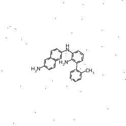 Cc1ccccc1-c1cccc(Nc2ccc3cc(N)ccc3c2)c1N